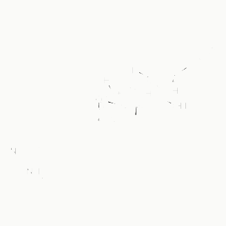 C[C@]12C=CC(=O)C=C1CC[C@@H]1[C@@H]2[C@@H](O)C[C@@]2(C)[C@H]1C[C@H]1O[C@@H](c3ccc(Cc4cccnc4N)cc3)O[C@]12C(=O)CO